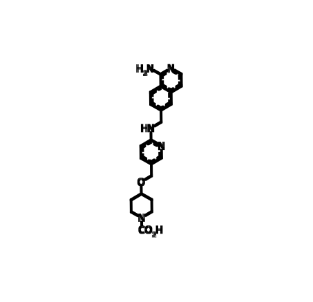 Nc1nccc2cc(CNc3ccc(COC4CCN(C(=O)O)CC4)cn3)ccc12